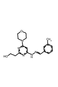 Cc1cccc(C=NNc2cc(N3CCOCC3)nc(CCO)n2)c1